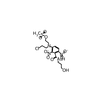 CS(=O)(=O)OCCN(CCCl)c1ccc([N+](=O)[O-])c(C(=O)[AsH]CCCO)c1[N+](=O)[O-]